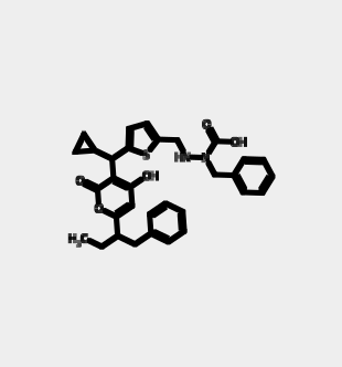 CCC(Cc1ccccc1)c1cc(O)c(C(c2ccc(CNN(Cc3ccccc3)C(=O)O)s2)C2CC2)c(=O)o1